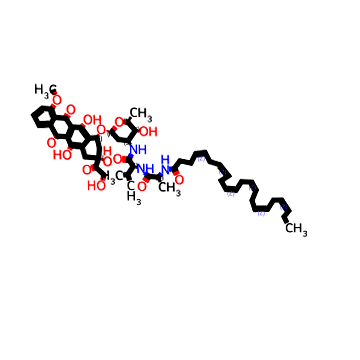 CC/C=C\C/C=C\C/C=C\C/C=C\C/C=C\C/C=C\CCC(=O)N[C@@H](C)C(=O)N[C@H](C(=O)N[C@H]1C[C@H](O[C@H]2C[C@](O)(C(=O)CO)Cc3c(O)c4c(c(O)c32)C(=O)c2c(OC)cccc2C4=O)O[C@@H](C)[C@H]1O)C(C)C